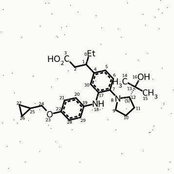 CCC(CC(=O)O)c1ccc(N2CCC[C@H]2C(C)(C)O)c(Nc2ccc(OCC3CC3)cc2)c1